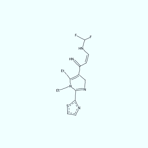 CCC1=C(C(=N)/C=C\NC(F)F)CN=C(c2nccs2)N1CC